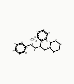 C[C@H](C[C@H](CN1CCCCC1)c1ccccc1)c1ccccc1